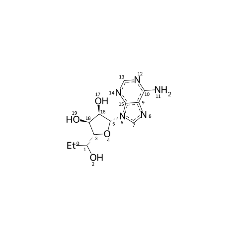 CCC(O)[C@H]1O[C@@H](n2cnc3c(N)ncnc32)[C@H](O)[C@@H]1O